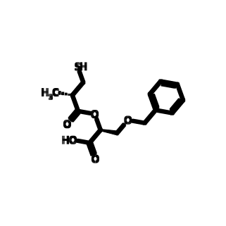 C[C@H](CS)C(=O)O[C@@H](COCc1ccccc1)C(=O)O